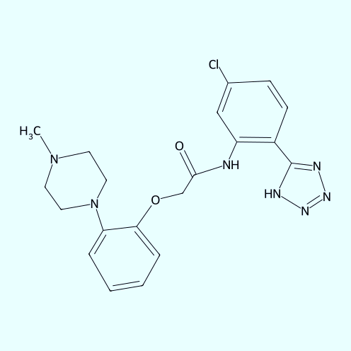 CN1CCN(c2ccccc2OCC(=O)Nc2cc(Cl)ccc2-c2nnn[nH]2)CC1